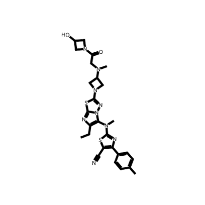 CCc1nc2sc(N3CC(N(C)CC(=O)N4CC(O)C4)C3)nn2c1N(C)c1nc(-c2ccc(C)cc2)c(C#N)s1